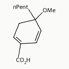 CCCCCC1(OC)C=CC(C(=O)O)=CC1